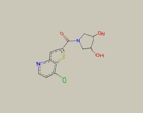 O=C(c1cc2nccc(Cl)c2s1)N1CC(O)C(O)C1